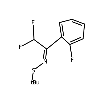 CC(C)(C)SN=C(c1ccccc1F)C(F)F